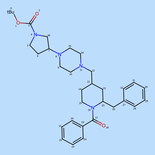 CC(C)(C)OC(=O)N1CCC(N2CCN(CC3CCN(C(=O)c4ccccc4)C(Cc4ccccc4)C3)CC2)C1